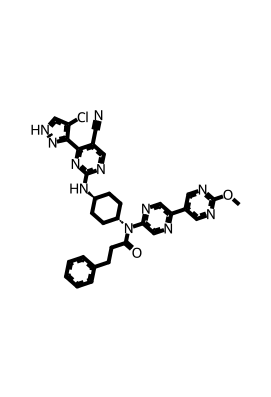 COc1ncc(-c2cnc(N(C(=O)CCc3ccccc3)[C@H]3CC[C@H](Nc4ncc(C#N)c(-c5n[nH]cc5Cl)n4)CC3)cn2)cn1